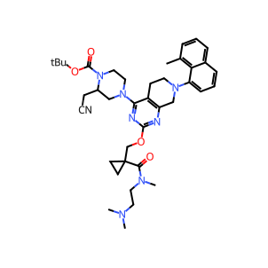 Cc1cccc2cccc(N3CCc4c(nc(OCC5(C(=O)N(C)CCN(C)C)CC5)nc4N4CCN(C(=O)OC(C)(C)C)C(CC#N)C4)C3)c12